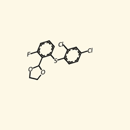 Fc1cccc(Sc2ccc(Cl)cc2Cl)c1C1OCCO1